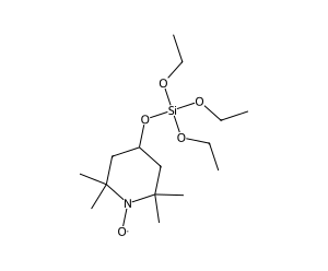 CCO[Si](OCC)(OCC)OC1CC(C)(C)N([O])C(C)(C)C1